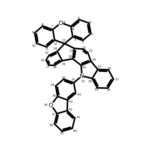 c1ccc2c(c1)Oc1ccccc1C21c2ccccc2-c2c1ccc1c3ccccc3n(-c3ccc4oc5ccccc5c4c3)c21